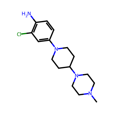 CN1CCN(C2CCN(c3ccc(N)c(Cl)c3)CC2)CC1